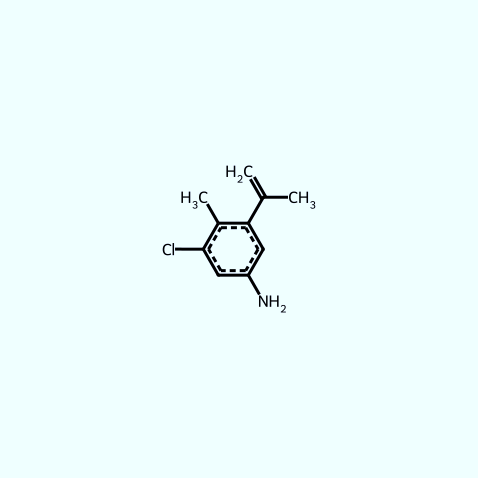 C=C(C)c1cc(N)cc(Cl)c1C